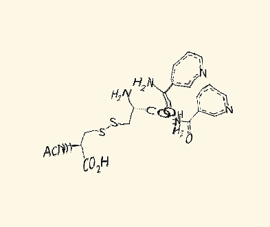 CC(=O)N[C@@H](CSSC[C@H](N)C(=O)O)C(=O)O.NC(=O)c1cccnc1.NC(=O)c1cccnc1